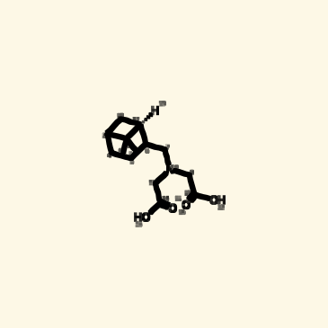 CC1(C)C2CCC(CN(CC(=O)O)CC(=O)O)[C@@H]1C2